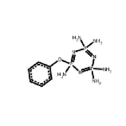 NP1(N)=NP(N)(N)=NP(N)(Oc2ccccc2)=N1